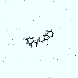 O=C(N[CH]c1cn2ccccc2n1)c1ccc(F)cc1F